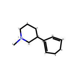 CN1CCCC(C2=CCCC=C2)C1